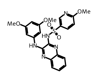 COc1cc(Nc2nc3ccccc3nc2NS(=O)(=O)c2ccc(OC)nc2)cc(OC)c1